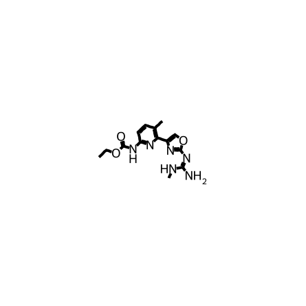 CCOC(=O)Nc1ccc(C)c(-c2coc(N=C(N)NC)n2)n1